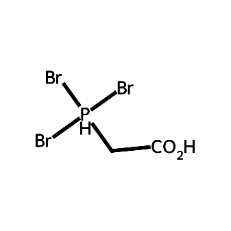 O=C(O)C[PH](Br)(Br)Br